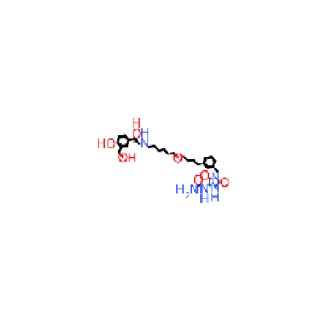 NC(=O)NC1NC(=O)N(Cc2cccc(CCCCOCCCCCCNC[C@@H](O)c3ccc(O)c(CO)c3)c2)C1=O